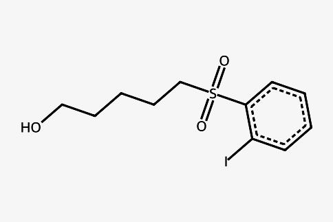 O=S(=O)(CCCCCO)c1ccccc1I